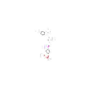 CCOP(=O)(Cc1ccc(NC(=O)CCC(=O)NC2CCC(Cc3cccc(Cl)c3)(N(C)C)CC2)cc1)OCC